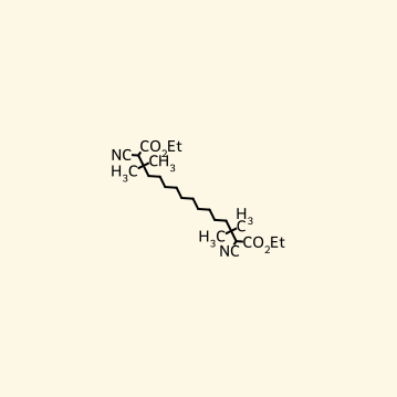 CCOC(=O)C(C#N)C(C)(C)CCCCCCCCCCC(C)(C)C(C#N)C(=O)OCC